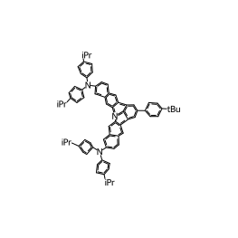 CC(C)c1ccc(N(c2ccc(C(C)C)cc2)c2ccc3cc4c5cc(-c6ccc(C(C)(C)C)cc6)cc6c7cc8ccc(N(c9ccc(C(C)C)cc9)c9ccc(C(C)C)cc9)cc8cc7n(c4cc3c2)c56)cc1